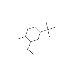 [CH2]C1CCC(C(C)(C)C)CC1OC